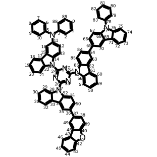 c1ccc(N(c2ccccc2)c2ccc3c(c2)c2ccccc2n3-c2nc(-n3c4ccccc4c4cc(-c5ccc6oc7ccccc7c6c5)ccc43)nc(-n3c4ccccc4c4cc(-c5ccc6c(c5)c5ccccc5n6-c5ccccc5)ccc43)n2)cc1